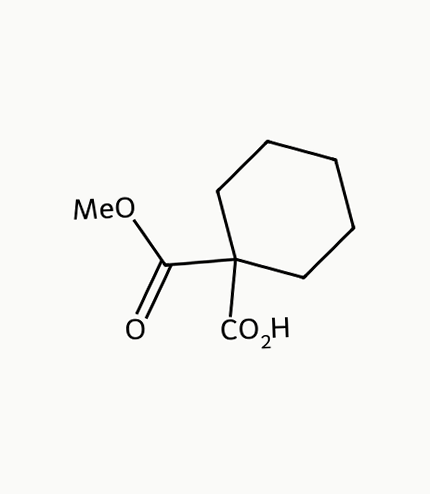 COC(=O)C1(C(=O)O)CCCCC1